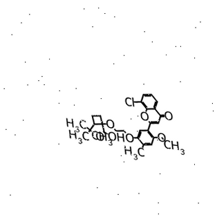 COc1cc(C)c(OCCOC2(C(=O)O)CCC2C(C)(C)C)cc1-c1cc(=O)c2cccc(Cl)c2o1